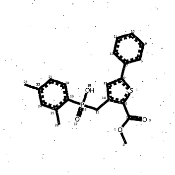 COC(=O)c1sc(-c2ccccc2)cc1CP(=O)(O)c1ccc(C)cc1C